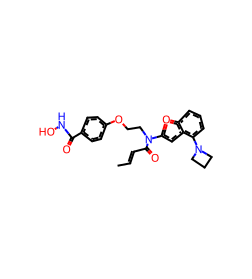 C/C=C/C(=O)N(CCOc1ccc(C(=O)NO)cc1)c1cc2c(N3CCC3)cccc2o1